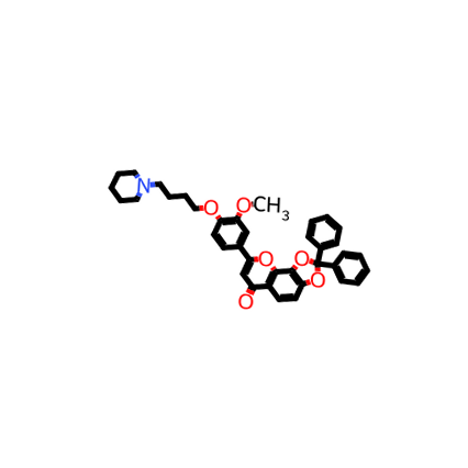 COc1cc(-c2cc(=O)c3ccc4c(c3o2)OC(c2ccccc2)(c2ccccc2)O4)ccc1OCCCCN1CCCCC1